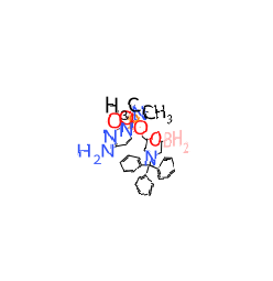 BC1CN(C(c2ccccc2)(c2ccccc2)c2ccccc2)CC(COP(=O)(N(C)C)n2ccc(N)nc2=O)O1